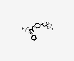 Cc1nn(-c2ccccc2)cc1CN1CCN(C(=O)CC(C(F)(F)F)C(F)(F)F)CC1